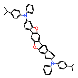 CC(C)c1ccc(N(c2ccccc2)c2ccc3cc4c(cc3c2)oc2cc3c(cc24)oc2cc(N(c4ccccc4)c4ccc(C(C)C)cc4)ccc23)cc1